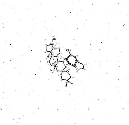 CC1(C)COC2(CC[C@]3(Cc4cc5c(cc4Cl)OCO5)C4=CC[C@]5(C)[C@@H](O)CC[C@H]5[C@@H]4CC[C@@]3(O)C2)OC1